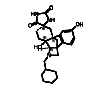 O=C1NC(=O)[C@@]2(CC[C@@]3(O)[C@@H]4N(CC5CCCCC5)CC45C[C@@]3(C2)c2cc(O)ccc25)N1